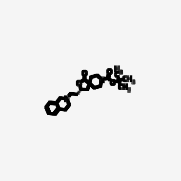 CC(C)(C)OC(=O)N1CCC2(CC1)C[C@H](CCN1CCc3ccccc3C1)OC2=O